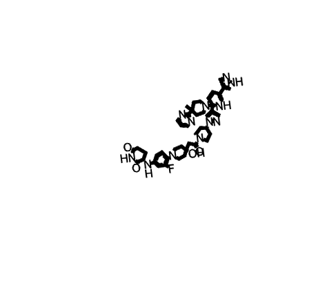 CC1(c2ncccn2)CCN(C2(c3cnn(C4CCN(C(=O)CC5(O)CCN(c6ccc(NC7CCC(=O)NC7=O)cc6F)CC5)CC4)c3)C=CC(c3cn[nH]c3)=CN2)CC1